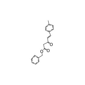 Cc1ccc(C=CC(=O)CC(=O)OCc2ccccc2)cc1